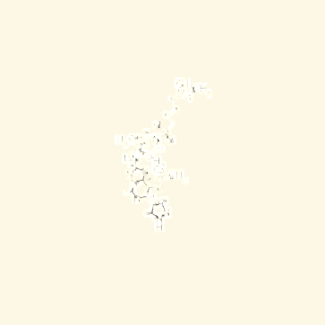 CCN(C)CCCCS(=O)(=O)N1CC[C@H](Nc2nc3c(OC(C)C)c(-c4cn[nH]c4)ncn3n2)[C@H](C)C1